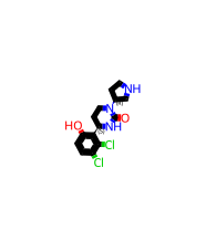 O=C1N[C@H](c2c(O)ccc(Cl)c2Cl)CCN1[C@@H]1CCNC1